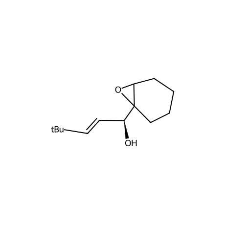 CC(C)(C)/C=C/[C@H](O)C12CCCCC1O2